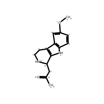 COc1ccc2[nH]c3c(c2c1)CCNC3CC(C)=O